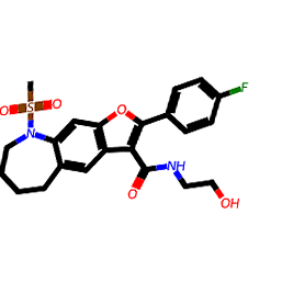 CS(=O)(=O)N1CCCCc2cc3c(C(=O)NCCO)c(-c4ccc(F)cc4)oc3cc21